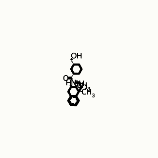 CC1(C)[C@H]2Cc3ccccc3[C@]1(C)CCN2C(=O)[C@H]1CCC[C@@H](CO)C1